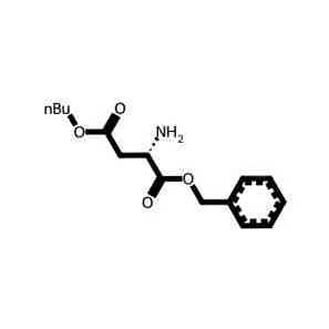 CCCCOC(=O)C[C@H](N)C(=O)OCc1ccccc1